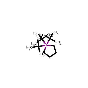 CC(C)(C)P1(C(C)(C)C)(C(C)(C)C)CCCC1